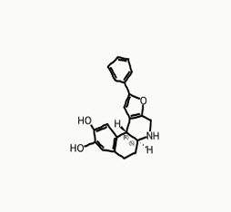 Oc1cc2c(cc1O)[C@@H]1c3cc(-c4ccccc4)oc3CN[C@H]1CC2